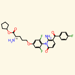 Nc1c(C(=O)c2ccc(F)cc2)ccc(=O)n1-c1c(F)cc(OCCC[C@H](N)C(=O)OC2CCCC2)cc1F